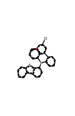 Clc1cc(Cl)cc(-c2ccccc2N(c2ccccc2)c2cccc3c2sc2ccccc23)c1